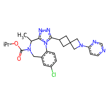 CC(C)OC(=O)N1Cc2cc(Cl)ccc2-n2c(C3CC4(C3)CN(c3ccncn3)C4)nnc2C1C